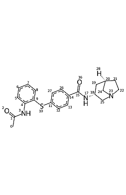 CC(=O)Nc1ccccc1Sc1ccc(C(=O)N[C@@H]2C[C@H]3CCN(C3)C2)cc1